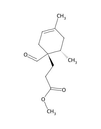 COC(=O)CC[C@@]1(C=O)CC=C(C)C[C@@H]1C